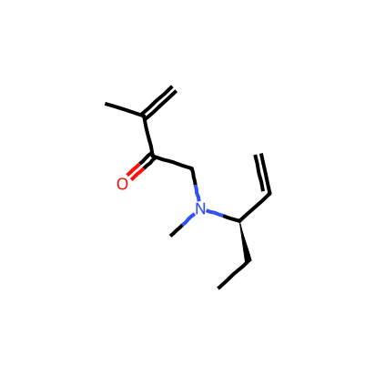 C=C[C@@H](CC)N(C)CC(=O)C(=C)C